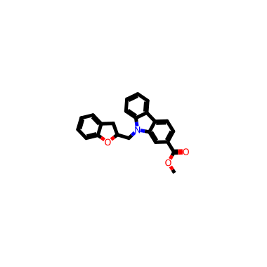 COC(=O)c1ccc2c3ccccc3n(CC3Cc4ccccc4O3)c2c1